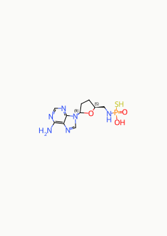 Nc1ncnc2c1ncn2[C@H]1CC[C@@H](CNP(=O)(O)S)O1